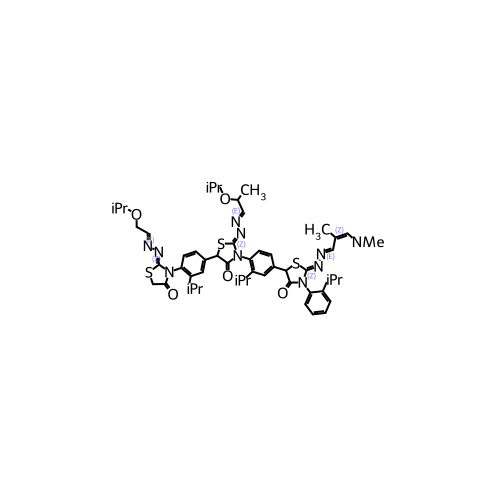 CN\C=C(C)/C=N/N=C1\SC(c2ccc(N3C(=O)C(c4ccc(N5C(=O)CS/C5=N\N=C\COC(C)C)c(C(C)C)c4)S/C3=N\N=C\C(C)OC(C)C)c(C(C)C)c2)C(=O)N1c1ccccc1C(C)C